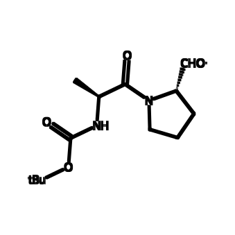 C[C@H](NC(=O)OC(C)(C)C)C(=O)N1CCC[C@H]1[C]=O